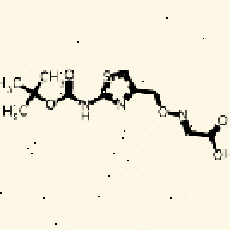 CC(C)(C)OC(=O)Nc1nc(CON=CC(=O)O)cs1